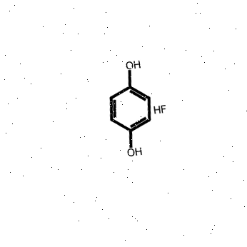 F.Oc1ccc(O)cc1